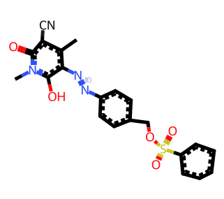 Cc1c(/N=N/c2ccc(COS(=O)(=O)c3ccccc3)cc2)c(O)n(C)c(=O)c1C#N